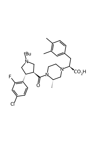 Cc1ccc(C[C@@H](C(=O)O)N2CCN(C(=O)[C@@H]3CN(C(C)(C)C)C[C@H]3c3ccc(Cl)cc3F)[C@@H](C)C2)cc1C